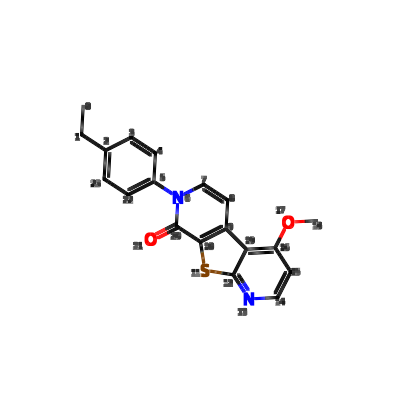 CCc1ccc(-n2ccc3c(sc4nccc(OC)c43)c2=O)cc1